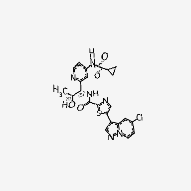 C[C@H](O)[C@@H](NC(=O)c1ncc(-c2cnn3ccc(Cl)cc23)s1)c1cc(NS(=O)(=O)C2CC2)ccn1